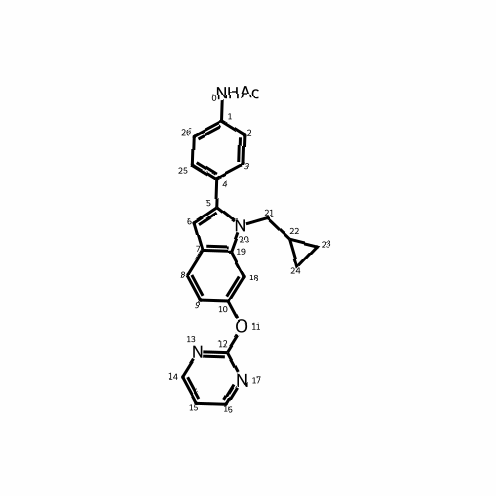 CC(=O)Nc1ccc(-c2cc3ccc(Oc4ncccn4)cc3n2CC2CC2)cc1